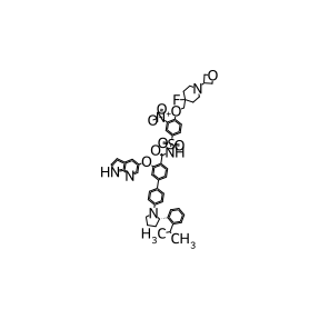 CC(C)c1ccccc1[C@@H]1CCCN1c1ccc(-c2ccc(C(=O)NS(=O)(=O)c3ccc(OCC4(F)CCN(C5COC5)CC4)c([N+](=O)[O-])c3)c(Oc3cnc4[nH]ccc4c3)c2)cc1